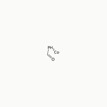 O=CP.[Co]